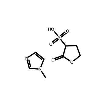 Cn1ccnc1.O=C1OCCC1S(=O)(=O)O